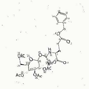 COC(=O)[C@H](CCC(=O)OCc1ccccc1)NC(=O)OC1O[C@H](COC(C)=O)[C@@H](OC(C)=O)[C@H](OC(C)=O)[C@H]1OC(C)=O